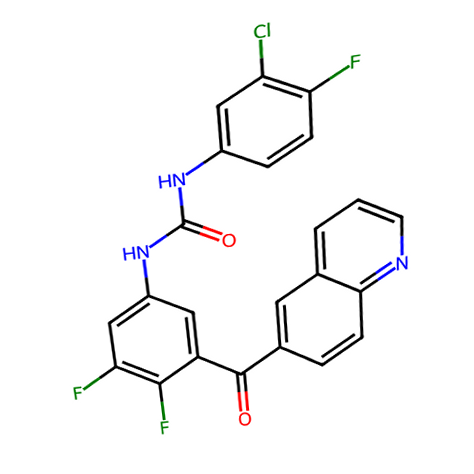 O=C(Nc1ccc(F)c(Cl)c1)Nc1cc(F)c(F)c(C(=O)c2ccc3ncccc3c2)c1